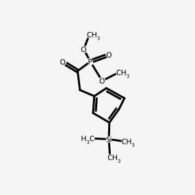 COP(=O)(OC)C(=O)Cc1cccc([Si](C)(C)C)c1